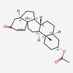 CC(=O)O[C@@H]1CC[C@@]2(C)[C@@H](CC[C@H]3[C@@H]4CC[C@@H]5CC(=O)C=CC54CC[C@@H]32)C1